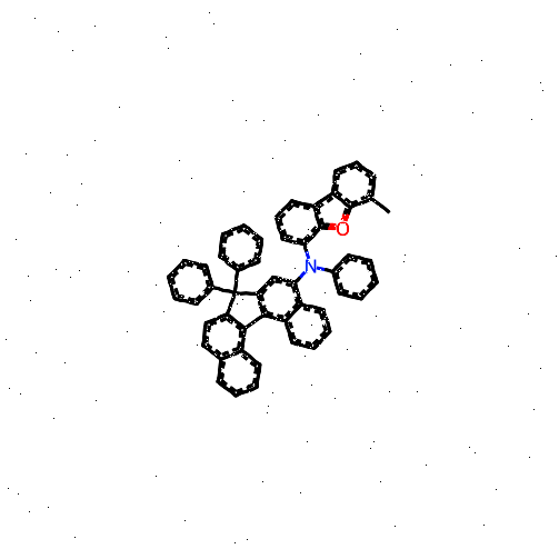 Cc1cccc2c1oc1c(N(c3ccccc3)c3cc4c(c5ccccc35)-c3c(ccc5ccccc35)C4(c3ccccc3)c3ccccc3)cccc12